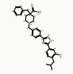 CC(C)Cc1ccc(-c2nc(-c3ccc(CN4CCC(Cc5ccccc5)(C(=O)O)CC4)cc3)no2)cc1Cl